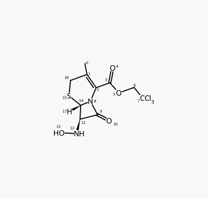 CC1=C(C(=O)OCC(Cl)(Cl)Cl)N2C(=O)[C@@H](NO)[C@@H]2SC1